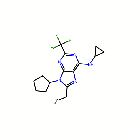 CCc1nc2c(NC3CC3)nc(C(F)(F)F)nc2n1C1CCCC1